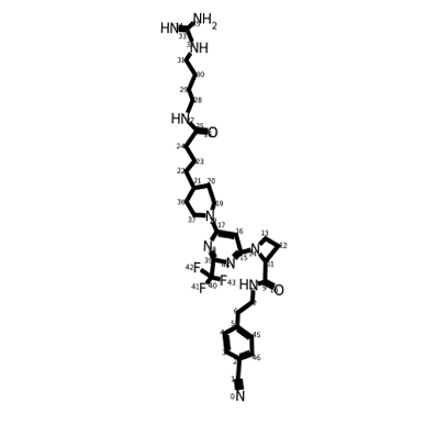 N#Cc1ccc(CCNC(=O)C2CCN2c2cc(N3CCC(CCCC(=O)NCCCCNC(=N)N)CC3)nc(C(F)(F)F)n2)cc1